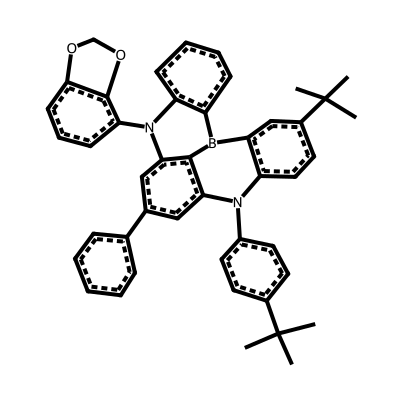 CC(C)(C)c1ccc(N2c3ccc(C(C)(C)C)cc3B3c4ccccc4N(c4cccc5c4OCO5)c4cc(-c5ccccc5)cc2c43)cc1